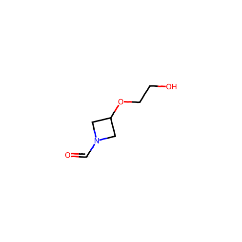 O=[C]N1CC(OCCO)C1